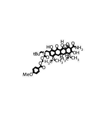 COc1ccc(C(=O)OCOC(=O)N(Cc2cc(N(C)C)c3c(c2O)C(=O)C2=C(O)[C@]4(O)C(=O)C(C(N)=O)=C(O)[C@@H](N(C)C)[C@@H]4C[C@@H]2C3)CC(C)(C)C)cc1